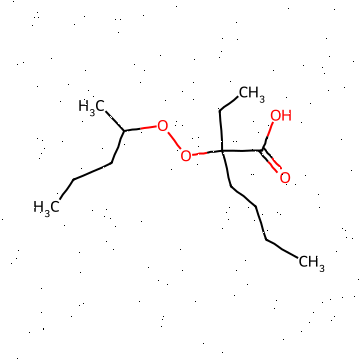 CCCCC(CC)(OOC(C)CCC)C(=O)O